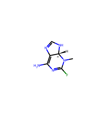 CN1C(F)=NC(N)=C2N=CN[C@@H]21